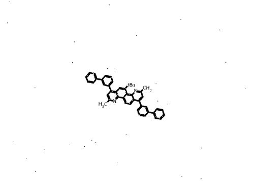 Cc1cc(-c2cccc(-c3ccccc3)c2)c2cc(C(C)(C)C)c3c(ccc4c(-c5cccc(-c6ccccc6)c5)cc(C)nc43)c2n1